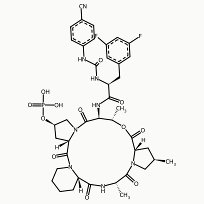 C[C@@H]1C[C@H]2C(=O)O[C@@H](C)[C@H](NC(=O)[C@H](Cc3cc(F)cc(F)c3)NC(=O)Nc3ccc(C#N)cc3)C(=O)N3C[C@H](OP(=O)(O)O)C[C@H]3C(=O)N3CCCC[C@H]3C(=O)N[C@@H](C)C(=O)N2C1